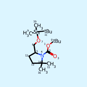 CC(C)(C)OC(=O)N1C(CO[Si](C)(C)C(C)(C)C)CCC1(C)C